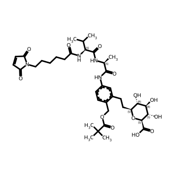 CC(C)[C@H](NC(=O)CCCCCN1C(=O)C=CC1=O)C(=O)N[C@@H](C)C(=O)Nc1ccc(COC(=O)C(C)(C)C)c(CC[C@@H]2O[C@H](C(=O)O)[C@@H](O)[C@H](O)[C@H]2O)c1